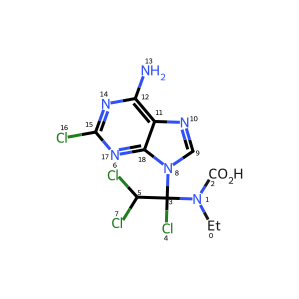 CCN(C(=O)O)C(Cl)(C(Cl)Cl)n1cnc2c(N)nc(Cl)nc21